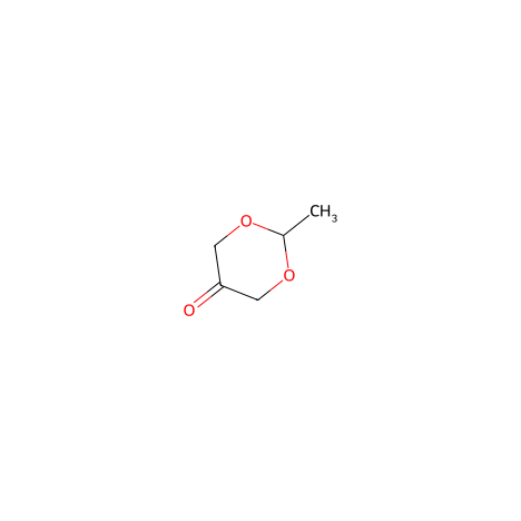 CC1OCC(=O)CO1